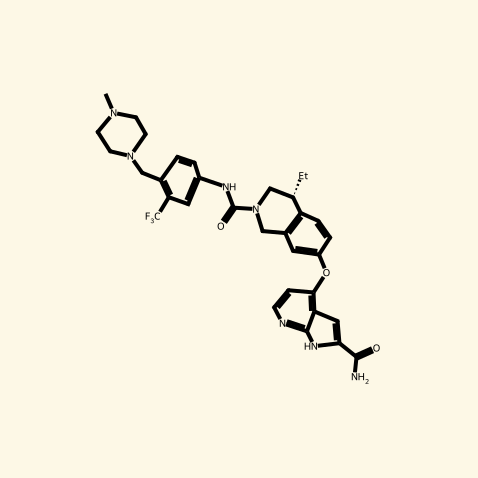 CC[C@H]1CN(C(=O)Nc2ccc(CN3CCN(C)CC3)c(C(F)(F)F)c2)Cc2cc(Oc3ccnc4[nH]c(C(N)=O)cc34)ccc21